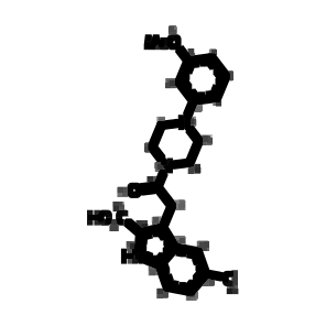 COc1cccc(N2CCN(C(=O)Cc3c(C(=O)O)[nH]c4ccc(Cl)cc34)CC2)c1